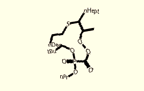 CCCCCCCCCCCCSC(CCCCCCC)C(C)OOC(=O)P(=O)(OCCC)OCC(C)(C)C